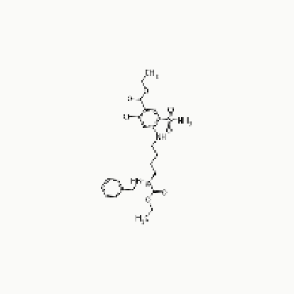 CCOC(=O)c1cc(S(N)(=O)=O)c(NCCCC[C@H](NCc2ccccc2)C(=O)OCC)cc1Cl